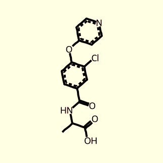 CC(NC(=O)c1ccc(Oc2ccncc2)c(Cl)c1)C(=O)O